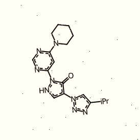 CC(C)c1cn(-c2c[nH]n(-c3cc(N4CCCCC4)ncn3)c2=O)nn1